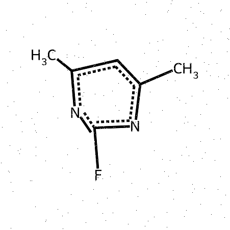 Cc1cc(C)nc(F)n1